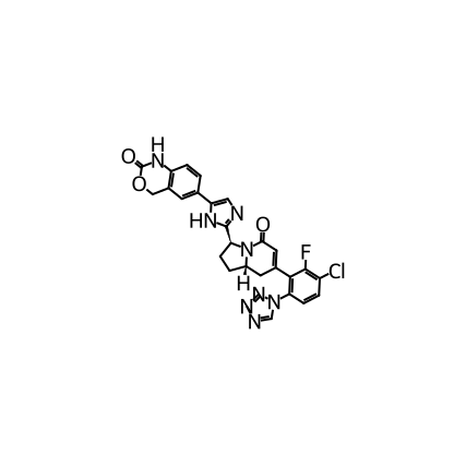 O=C1Nc2ccc(-c3cnc([C@@H]4CC[C@H]5CC(c6c(-n7cnnn7)ccc(Cl)c6F)=CC(=O)N54)[nH]3)cc2CO1